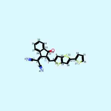 N#CC(C#N)=C1/C(=C/c2cc3sc(-c4cccs4)cc3s2)C(=O)c2ccccc21